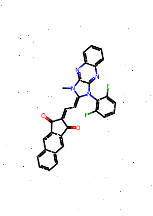 CN1/C(=C\C=C2C(=O)c3cc4ccccc4cc3C2=O)N(c2c(F)cccc2F)c2nc3ccccc3nc21